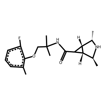 Cc1cccc(F)c1OCC(C)(C)NC(=O)C1[C@@H]2[C@H]1[C@H](C)N[C@H]2C